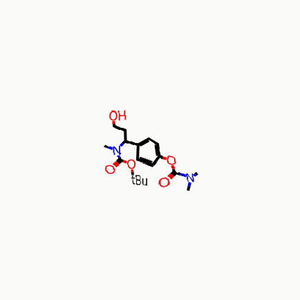 CN(C)C(=O)Oc1ccc(C(CCO)N(C)C(=O)OC(C)(C)C)cc1